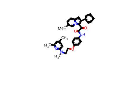 COc1ccc2cc(-c3ccccc3)c(C(=O)C(=O)Nc3ccc(OCCN(C)c4cc(C)cc(C)n4)cc3)n2c1